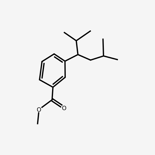 COC(=O)c1cccc(C(CC(C)C)C(C)C)c1